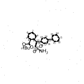 CC(C)(C)OC(=O)c1ccccc1/C(=C/S(N)(=O)=O)c1ccc(-c2ccccc2)cc1